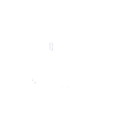 Cc1cccc2c(O)c(C#N)c(=O)[nH]c12